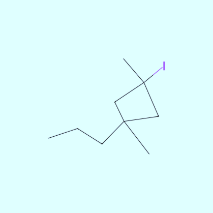 CCCC1(C)CC(C)(I)C1